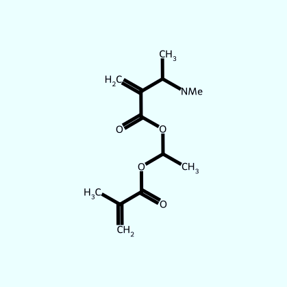 C=C(C)C(=O)OC(C)OC(=O)C(=C)C(C)NC